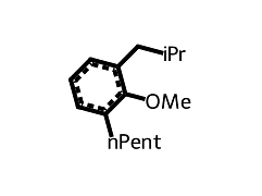 [CH2]CCCCc1cccc(CC(C)C)c1OC